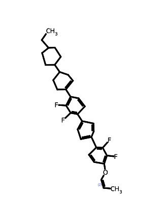 C/C=C\Oc1ccc(-c2ccc(-c3ccc(C4=CCC(C5CCC(CC)CC5)CC4)c(F)c3F)cc2)c(F)c1F